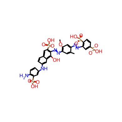 COc1cc(N=Nc2cc(S(=O)(=O)O)ccc2S(=O)(=O)O)c(C)cc1N=Nc1c(S(=O)(=O)O)cc2ccc(Nc3ccc(N)c(S(=O)(=O)O)c3)cc2c1O